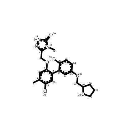 Cc1cc(OCc2n[nH]c(=O)n2C)c(-c2cc(OCC3CCCO3)ccc2F)cc1Cl